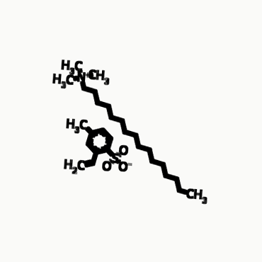 C=Cc1cc(C)ccc1S(=O)(=O)[O-].CCCCCCCCCCCCCCCC[N+](C)(C)C